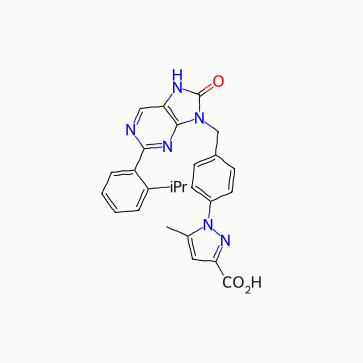 Cc1cc(C(=O)O)nn1-c1ccc(Cn2c(=O)[nH]c3cnc(-c4ccccc4C(C)C)nc32)cc1